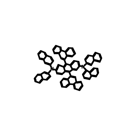 c1ccc2cc(N(c3ccc4ccccc4c3)c3ccc4c(-c5cc6ccccc6c6ccccc56)c5cc(N(c6ccc7ccccc7c6)c6cccc7ccccc67)ccc5c(-c5cc6ccccc6c6ccccc56)c4c3)ccc2c1